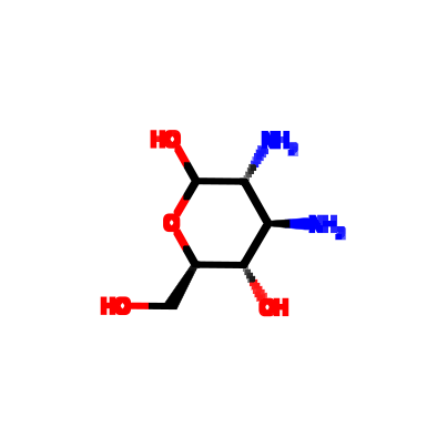 N[C@H]1[C@H](O)[C@@H](CO)OC(O)[C@@H]1N